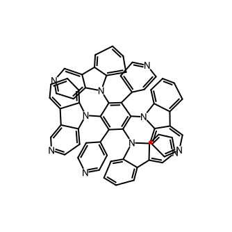 c1ccc2c(c1)c1cnccc1n2-c1c(-c2ccncc2)c(-n2c3ccccc3c3cnccc32)c(-n2c3ccccc3c3cnccc32)c(-c2ccncc2)c1-n1c2ccccc2c2cnccc21